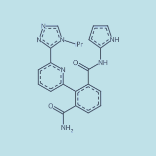 CC(C)n1cnnc1-c1cccc(-c2c(C(N)=O)cccc2C(=O)Nc2ccc[nH]2)n1